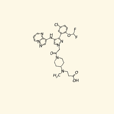 CN(CCC(=O)O)C1CCN(C(=O)Cn2cc(Nc3cnn4cccnc34)c(-c3cc(Cl)ccc3OC(F)F)n2)CC1